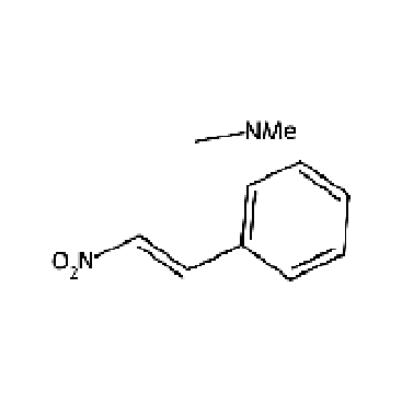 CNC.O=[N+]([O-])C=Cc1ccccc1